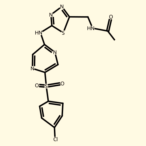 CC(=O)NCc1nnc(Nc2cnc(S(=O)(=O)c3ccc(Cl)cc3)cn2)s1